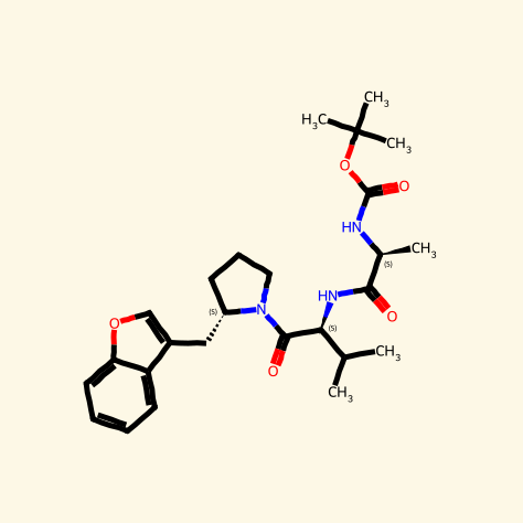 CC(C)[C@H](NC(=O)[C@H](C)NC(=O)OC(C)(C)C)C(=O)N1CCC[C@H]1Cc1coc2ccccc12